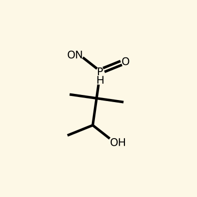 CC(O)C(C)(C)[PH](=O)N=O